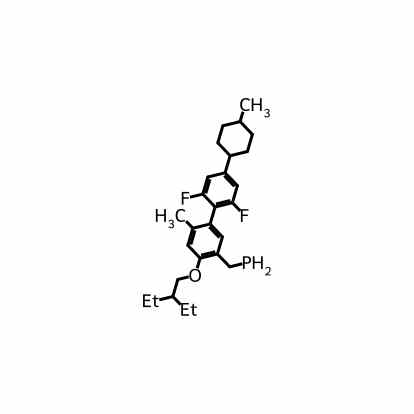 CCC(CC)COc1cc(C)c(-c2c(F)cc(C3CCC(C)CC3)cc2F)cc1CP